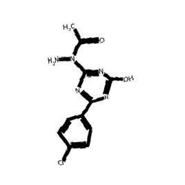 CC(=O)N(N)c1nc(O)nc(-c2ccc(Cl)cc2)n1